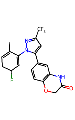 CC1=CCC(F)C=C1n1nc(C(F)(F)F)cc1-c1ccc2c(c1)NC(=O)CO2